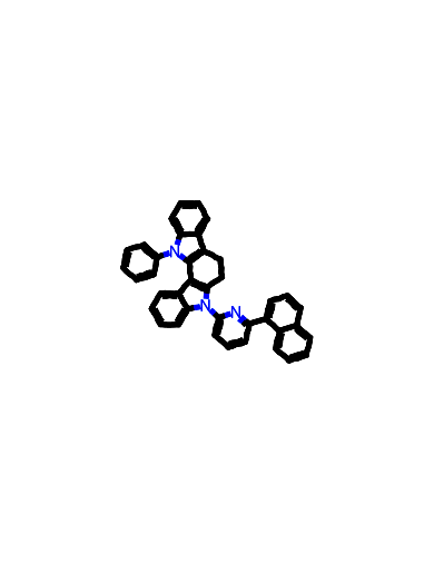 c1ccc(-n2c3c(c4ccccc42)CCc2c-3c3ccccc3n2-c2cccc(-c3cccc4ccccc34)n2)cc1